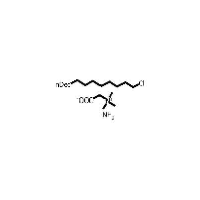 CCCCCCCCCCCCCCCCCCCl.C[N+](C)(C)CC(=O)[O-].N